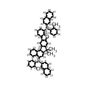 Cc1ccccc1N(c1ccc2ccccc2c1)c1cc2c(c3ccccc13)-c1cc3c(cc1C2(C)C)oc1c(N(c2ccc4ccccc4c2)c2ccccc2C)cccc13